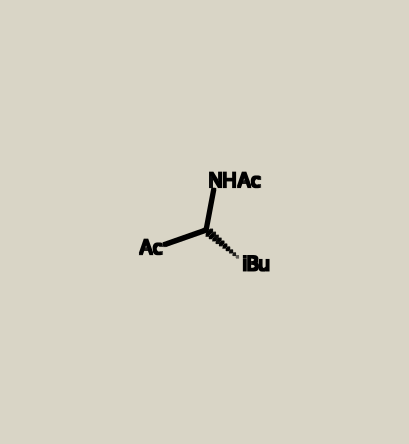 CC[C@@H](C)C(NC(C)=O)C(C)=O